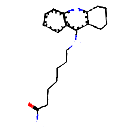 NC(=O)CCCCCCNc1c2c(nc3ccccc13)CCCC2